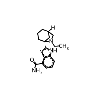 CCN1C[C@H]2CCC[C@@]1(c1nc3c(C(N)=O)cccc3[nH]1)C2